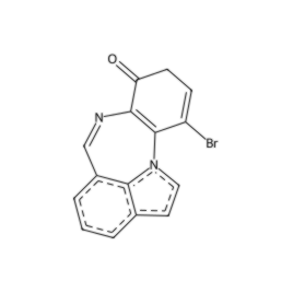 O=C1CC=C(Br)C2=C1N=Cc1cccc3ccn2c13